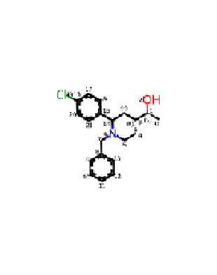 C[C@H](O)[C@@H]1CCN(Cc2ccccc2)C(c2ccc(Cl)cc2)C1